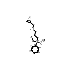 CCO[Si](CCCOCC1CO1)(OCC)c1ccccc1